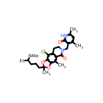 CCC(CCCC1(C)Oc2c(C)c3c(c(Cl)c2O1)CCN(Cc1c(C)cc(C)[nH]c1=O)C3=O)NC